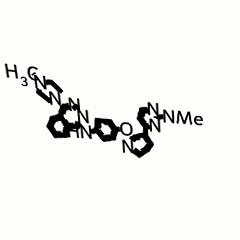 CNc1nccc(-c2cccnc2Oc2ccc(Nc3nnc(N4CCN(C)CC4)c4ccccc34)cc2)n1